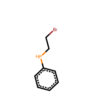 BrCCPc1ccccc1